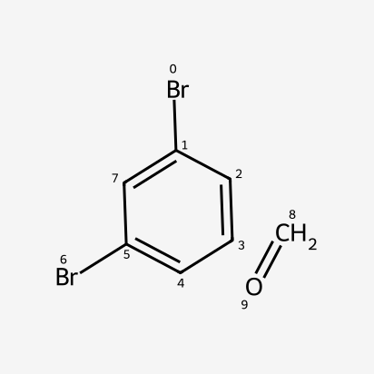 Brc1cccc(Br)c1.C=O